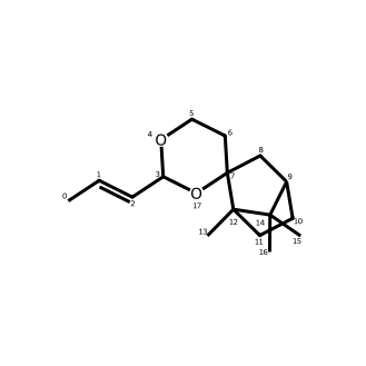 CC=CC1OCCC2(CC3CCC2(C)C3(C)C)O1